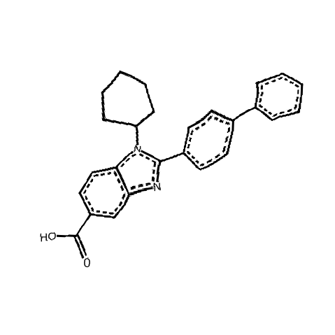 O=C(O)c1ccc2c(c1)nc(-c1ccc(-c3ccccc3)cc1)n2C1CCCCC1